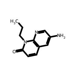 CCCn1c(=O)ccc2cc(N)cnc21